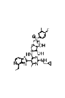 CCc1nccc2sc(-c3c(C)nc(NCC4CC4)nc3N[C@@H]3C[C@H](CS(=O)(=O)c4ccc(F)c(C)c4)[C@@H](O)[C@H]3O)nc12